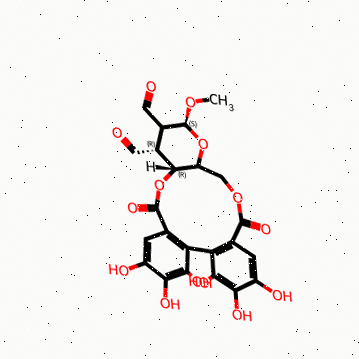 CO[C@H]1OC2COC(=O)c3cc(O)c(O)c(O)c3-c3c(cc(O)c(O)c3O)C(=O)O[C@@H]2[C@H](C=O)C1C=O